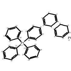 C1=CCC=CC1.C1=CCCC=C1.[Pt].c1cc[c]([Pt]([c]2ccccc2)([c]2ccccc2)[c]2ccccc2)cc1